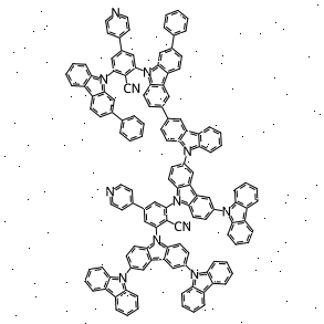 N#Cc1c(-n2c3ccc(-n4c5ccccc5c5ccccc54)cc3c3cc(-n4c5ccccc5c5ccccc54)ccc32)cc(-c2ccncc2)cc1-n1c2ccc(-n3c4ccccc4c4ccccc43)cc2c2cc(-n3c4ccccc4c4cc(-c5ccc6c(c5)c5ccc(-c7ccccc7)cc5n6-c5cc(-c6ccncc6)cc(-n6c7ccccc7c7ccc(-c8ccccc8)cc76)c5C#N)ccc43)ccc21